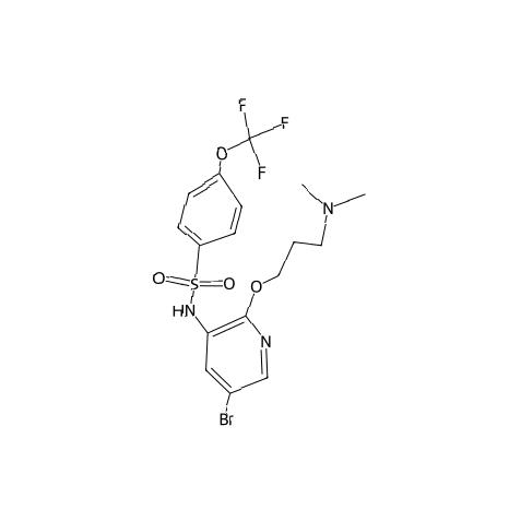 CN(C)CCCOc1ncc(Br)cc1NS(=O)(=O)c1ccc(OC(F)(F)F)cc1